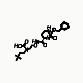 CC(C)(C)CCN(CCONC(=O)[C@@H]1CC[C@@H]2CN1C(=O)N2OCc1ccccc1)C(=O)O